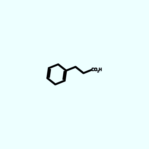 O=C(O)CCC1=CCC=CC1